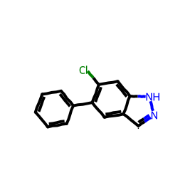 Clc1cc2[nH]n[c]c2cc1-c1ccccc1